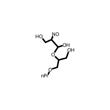 CCCOCC(CO)OC(O)C(CO)N=O